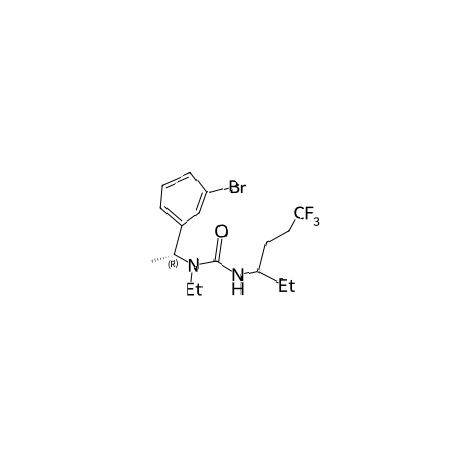 CCC(CCC(F)(F)F)NC(=O)N(CC)[C@H](C)c1cccc(Br)c1